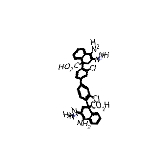 [H]/N=N/C1=C(N)c2ccccc2C(C(=O)O)(c2ccc(-c3ccc(C4(C(=O)O)CC(/N=N/[H])=C(N)c5ccccc54)c(Cl)c3)cc2Cl)C1